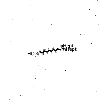 CCCCCCCN(CCCCCCC)CCCCCCCCCCC(=O)O